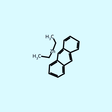 C[CH2][Zn][CH2]C.c1ccc2cc3ccccc3cc2c1